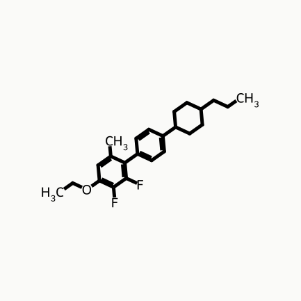 CCCC1CCC(c2ccc(-c3c(C)cc(OCC)c(F)c3F)cc2)CC1